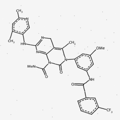 CNC(=O)N1C(=O)N(c2cc(NC(=O)c3cccc(C(F)(F)F)c3)cc(OC)c2)C(C)=C2CN=C(Nc3cnc(C)cc3C)N=C21